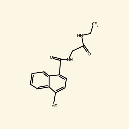 CC(=O)c1ccc(C(=O)NCC(=O)NCC(F)(F)F)c2ccccc12